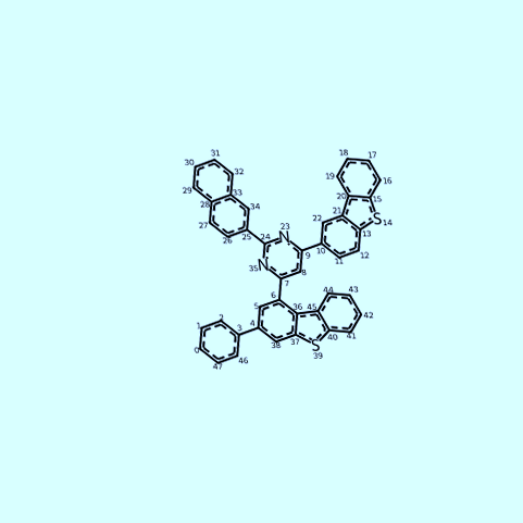 c1ccc(-c2cc(-c3cc(-c4ccc5sc6ccccc6c5c4)nc(-c4ccc5ccccc5c4)n3)c3c(c2)sc2ccccc23)cc1